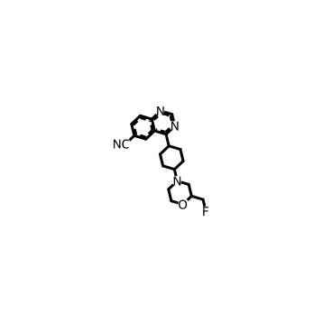 N#Cc1ccc2ncnc(C3CCC(N4CCOC(CF)C4)CC3)c2c1